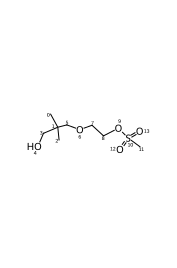 CC(C)(CO)COCCOS(C)(=O)=O